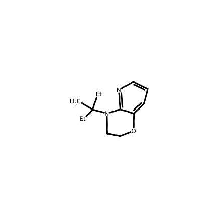 CCC(C)(CC)N1CCOc2cccnc21